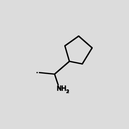 [CH2]C(N)C1CCCC1